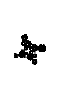 CC1(C)OB(c2cnc(CN3CCN(C4CCCC4)C(=O)C3=O)nc2)OC1(C)C.O=C1C(=O)N(C2CCCC2)CCN1Cc1ncc(Br)cn1